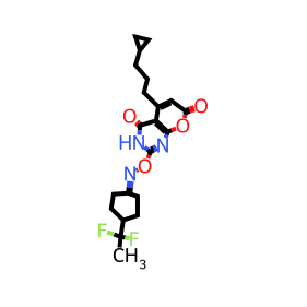 CC(F)(F)C1CCC(=NOc2nc3oc(=O)cc(CCCC4CC4)c3c(=O)[nH]2)CC1